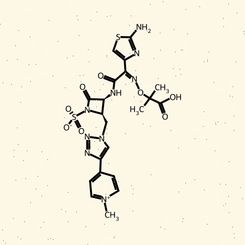 C[n+]1ccc(-c2cn(C[C@@H]3[C@H](NC(=O)C(=NOC(C)(C)C(=O)O)c4csc(N)n4)C(=O)N3S(=O)(=O)[O-])nn2)cc1